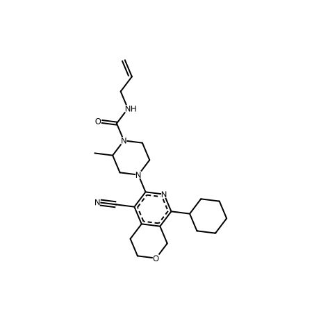 C=CCNC(=O)N1CCN(c2nc(C3CCCCC3)c3c(c2C#N)CCOC3)CC1C